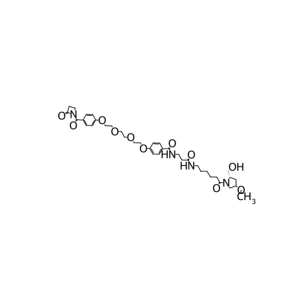 CO[C@@H]1C[C@@H](CO)N(C(=O)CCCCCNC(=O)CCNC(=O)c2ccc(OCCOCCOCCOc3ccc(C(=O)N4CCC4=O)cc3)cc2)C1